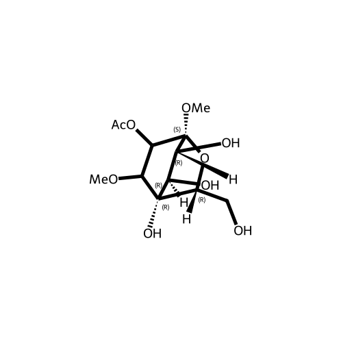 COC1C(OC(C)=O)[C@@]2(OC)O[C@H](CO)[C@]1(O)[C@H](O)[C@H]2O